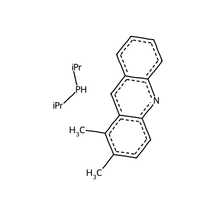 CC(C)PC(C)C.Cc1ccc2nc3ccccc3cc2c1C